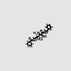 Cl.N[C@@H](CCCCNC(=O)N1CCOCC1)[C@@H](O)C(=O)NCCc1ccccc1